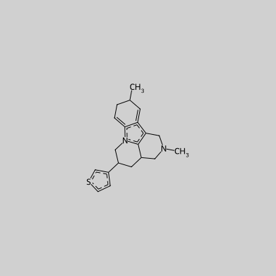 CC1C=c2c3c4n(c2=CC1)CC(c1ccsc1)CC4CN(C)C3